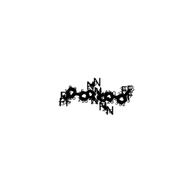 N#C/N=c1/c2cc(-c3cccc(C(F)(F)F)c3)ccc2c2nc3/c(=N/C#N)c4cc(-c5cccc(C(F)(F)F)c5)ccc4c3nc12